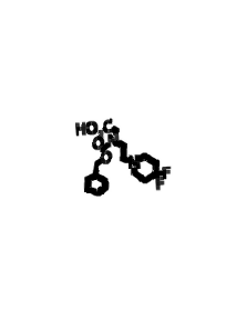 O=C(O)CN(CCN1CCC(F)(F)CC1)C(=O)OCc1ccccc1